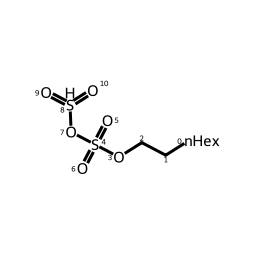 CCCCCCCCOS(=O)(=O)O[SH](=O)=O